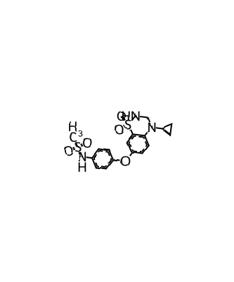 CS(=O)(=O)Nc1ccc(Oc2ccc3c(c2)S(=O)(=O)NCN3C2CC2)cc1